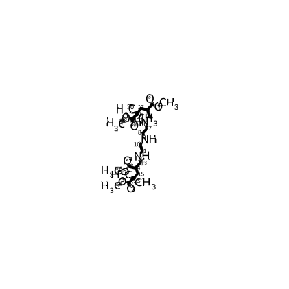 COC(=O)C(CNCCNCCNCC(CC(C)(C)C(=O)OC)C(=O)OC)CC(C)(C)C(=O)OC